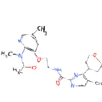 CC(=O)N(C)c1ncc(C)cc1OCCNC(=O)c1ncc(C)c(C2CCOCC2)n1